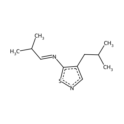 CC(C)/C=N/c1sncc1CC(C)C